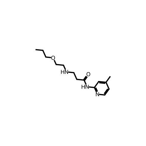 CCCOCCNCCC(=O)Nc1cc(C)ccn1